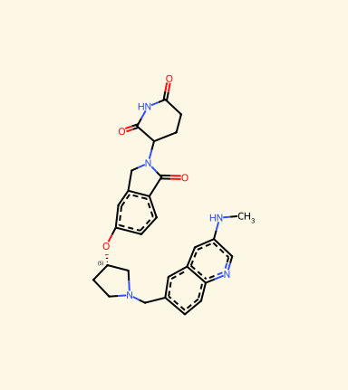 CNc1cnc2ccc(CN3CC[C@H](Oc4ccc5c(c4)CN(C4CCC(=O)NC4=O)C5=O)C3)cc2c1